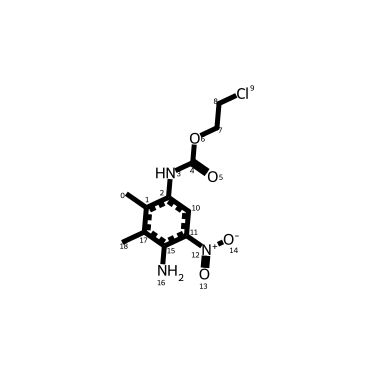 Cc1c(NC(=O)OCCCl)cc([N+](=O)[O-])c(N)c1C